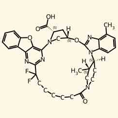 Cc1cccc2c1nc1n2[C@H]2CCN(C[C@@H]2C)C(=O)CCCCCC(F)(F)c2nc(c3oc4ccccc4c3n2)N2C[C@H](C[C@H]2C(=O)O)O1